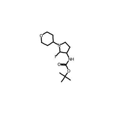 CC(C)(C)OC(=O)NC1CCN(C2CCOCC2)C1I